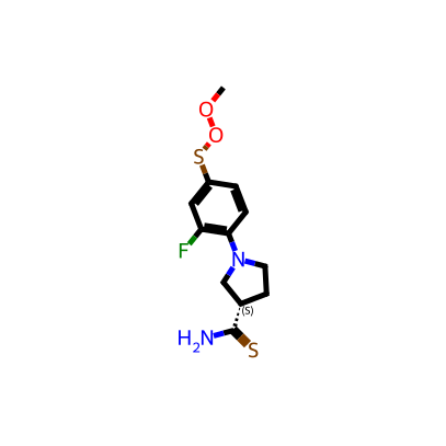 COOSc1ccc(N2CC[C@H](C(N)=S)C2)c(F)c1